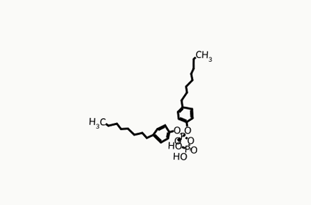 CCCCCCCCc1ccc(OP(=O)(Oc2ccc(CCCCCCCC)cc2)OP(=O)(O)O)cc1